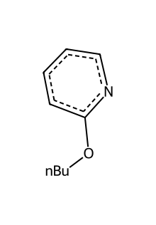 [CH2]CCCOc1ccccn1